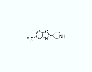 FC(F)(F)c1ccc2oc(C3CCNCC3)nc2c1